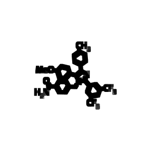 COc1ccc(-c2c(-c3ccc(C)cc3)nc(-c3cc(C(F)(F)F)cc(C(F)(F)F)c3)n2Cc2ccc(C(N)=O)cc2)cc1